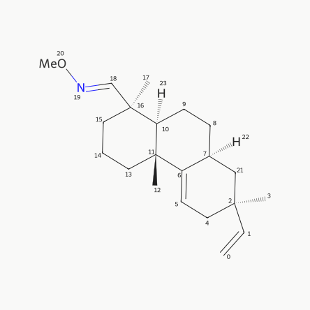 C=C[C@@]1(C)CC=C2[C@@H](CC[C@H]3[C@@]2(C)CCC[C@@]3(C)/C=N/OC)C1